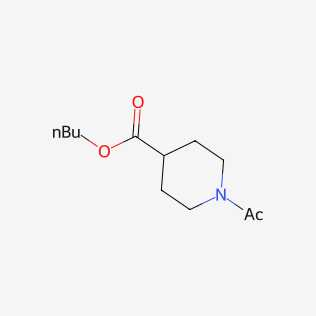 CCCCOC(=O)C1CCN(C(C)=O)CC1